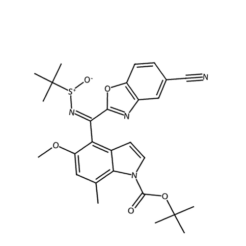 COc1cc(C)c2c(ccn2C(=O)OC(C)(C)C)c1/C(=N/[S+]([O-])C(C)(C)C)c1nc2cc(C#N)ccc2o1